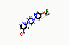 O=Nc1ccnc(N2CCN(c3ccc(OC(F)(F)F)cn3)CC2)c1